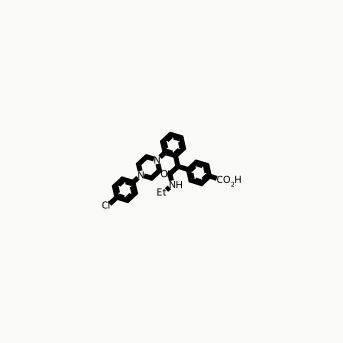 CCNC(=O)C(c1ccc(C(=O)O)cc1)c1ccccc1N1CCN(c2ccc(Cl)cc2)CC1